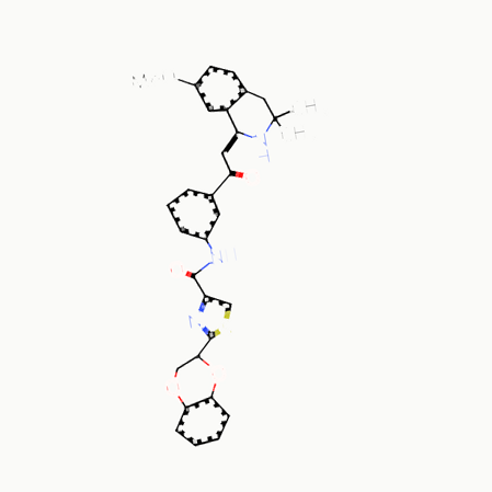 COc1ccc2c(c1)/C(=C/C(=O)c1cccc(NC(=O)c3csc(C4COc5ccccc5O4)n3)c1)NC(C)(C)C2